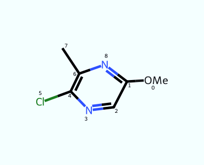 COc1cnc(Cl)c(C)n1